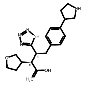 C=C(O)[C@@H](C1CCOC1)[C@H](Cc1ccc(C2CCNC2)cc1)c1nnn[nH]1